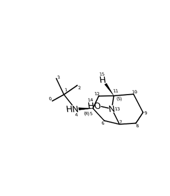 CC(C)(C)N[C@@H]1CC2CCC[C@@H](C1)N2O